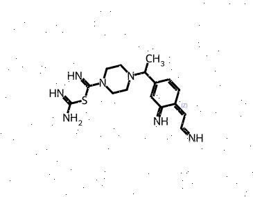 CC(C1=CC(=N)/C(=C\C=N)C=C1)N1CCN(C(=N)SC(=N)N)CC1